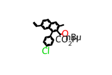 C=Cc1ccc2cc(C)c(C(OCCCC)C(=O)O)c(-c3ccc(Cl)cc3)c2c1